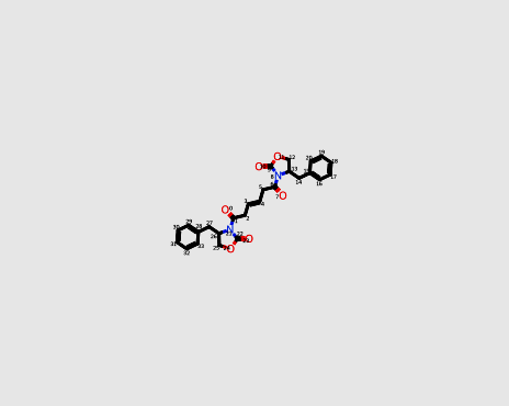 O=C(CC=CCC(=O)N1C(=O)OCC1Cc1ccccc1)N1C(=O)OCC1Cc1ccccc1